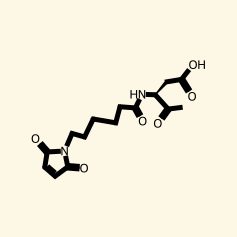 CC(=O)[C@H](CC(=O)O)NC(=O)CCCCCN1C(=O)C=CC1=O